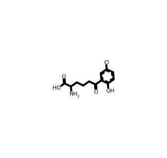 NC(CCCC(=O)c1cc(Cl)ccc1O)C(=O)O